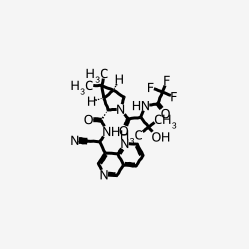 CC(C)(O)C(NC(=O)C(F)(F)F)C(=O)N1C[C@H]2[C@@H]([C@H]1C(=O)NC(C#N)c1cncc3cccnc13)C2(C)C